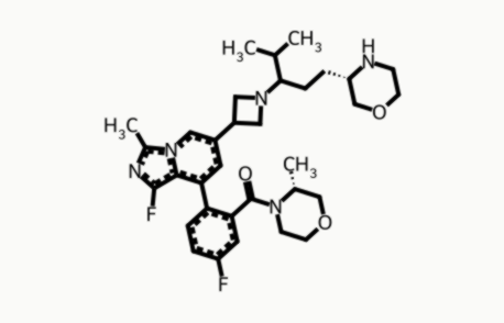 Cc1nc(F)c2c(-c3ccc(F)cc3C(=O)N3CCOC[C@H]3C)cc(C3CN(C(CC[C@H]4COCCN4)C(C)C)C3)cn12